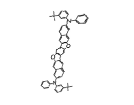 CC(C)(C)c1cccc(N(c2ccccc2)c2ccc3cc4c(cc3c2)oc2cc3c(cc24)oc2cc4cc(N(c5ccccc5)c5cccc(C(C)(C)C)c5)ccc4cc23)c1